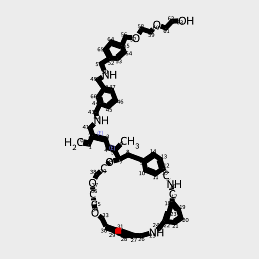 C=C/C(=C\C=C(/C)C1Cc2ccc(cc2)CNCc2cccc(c2)CNCc2ccc(cc2)COCCOCCO1)CNCc1cccc(CNCc2ccc(COCCOCCO)cc2)c1